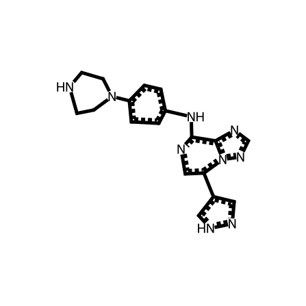 c1nc2c(Nc3ccc(N4CCNCC4)cc3)ncc(-c3cn[nH]c3)n2n1